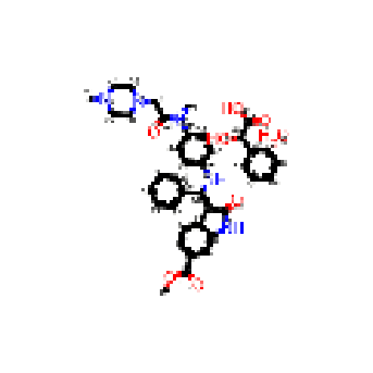 COC(=O)c1ccc2c(c1)NC(=O)/C2=C(\Nc1ccc(N(C)C(=O)CN2CCN(C)CC2)cc1)c1ccccc1.O.O=C(O)C(O)c1ccccc1